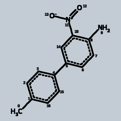 Cc1ccc(-c2ccc(N)c([N+](=O)[O-])c2)cc1